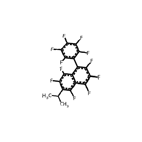 CC(C)c1c(F)c(F)c2c(-c3c(F)c(F)c(F)c(F)c3F)c(F)c(F)c(F)c2c1F